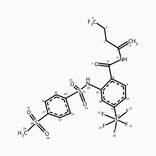 C=C(CCC(F)(F)F)NC(=O)c1ccc(S(F)(F)(F)(F)F)cc1NS(=O)(=O)c1ccc(S(C)(=O)=O)cc1